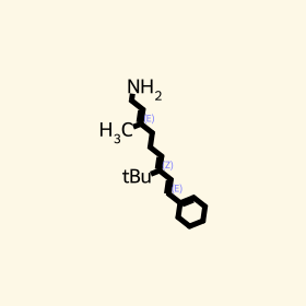 C/C(=C\CN)CC/C=C(/C=C/C1=CCCCC1)C(C)(C)C